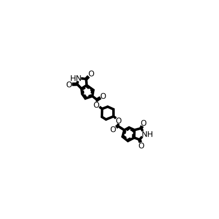 O=C(OC1CCC(OC(=O)c2ccc3c(c2)C(=O)NC3=O)CC1)c1ccc2c(c1)C(=O)NC2=O